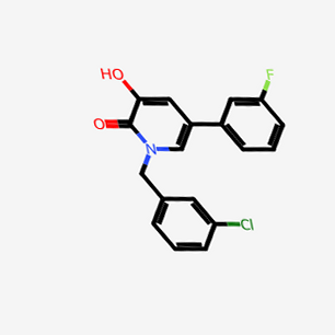 O=c1c(O)cc(-c2cccc(F)c2)cn1Cc1cccc(Cl)c1